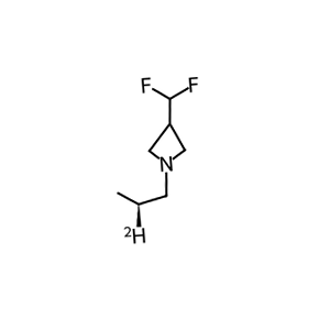 [2H][C@@H](C)CN1CC(C(F)F)C1